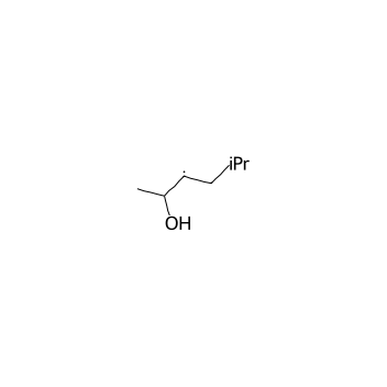 CC(O)[CH]CC(C)C